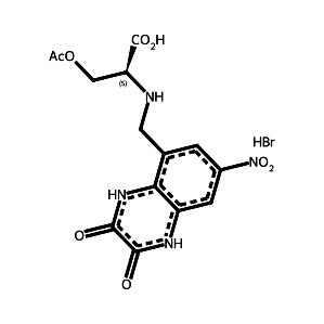 Br.CC(=O)OC[C@H](NCc1cc([N+](=O)[O-])cc2[nH]c(=O)c(=O)[nH]c12)C(=O)O